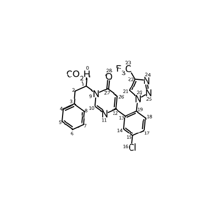 O=C(O)C(Cc1ccccc1)n1cnc(-c2cc(Cl)ccc2-n2cc(C(F)(F)F)nn2)cc1=O